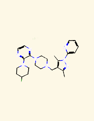 Cc1nn(-c2ccccn2)c(C)c1CN1CCN(c2nccnc2N2CCC(F)CC2)CC1.Cl